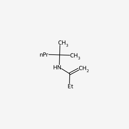 C=C(CC)NC(C)(C)CCC